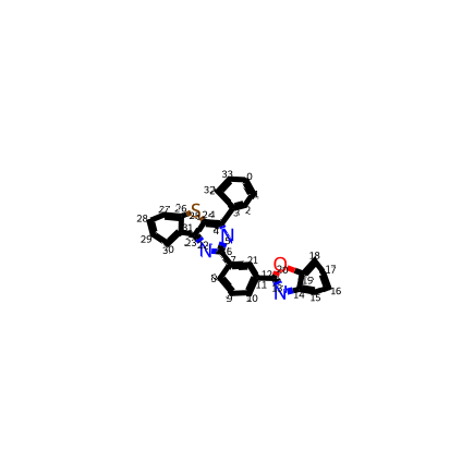 c1ccc(-c2nc(-c3cccc(-c4nc5ccccc5o4)c3)nc3c2sc2ccccc23)cc1